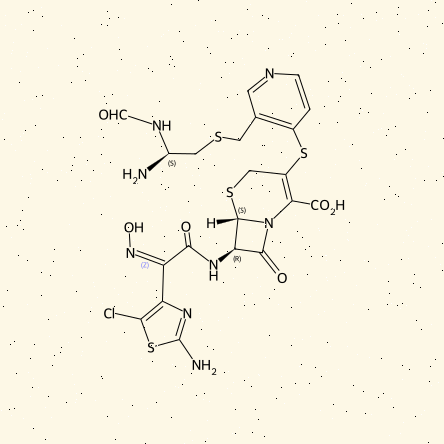 Nc1nc(/C(=N/O)C(=O)N[C@@H]2C(=O)N3C(C(=O)O)=C(Sc4ccncc4CSC[C@@H](N)NC=O)CS[C@@H]23)c(Cl)s1